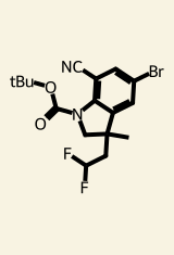 CC(C)(C)OC(=O)N1CC(C)(CC(F)F)c2cc(Br)cc(C#N)c21